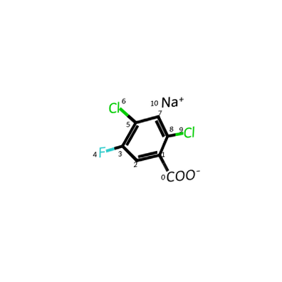 O=C([O-])c1cc(F)c(Cl)cc1Cl.[Na+]